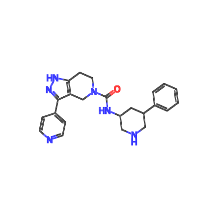 O=C(NC1CNCC(c2ccccc2)C1)N1CCc2[nH]nc(-c3ccncc3)c2C1